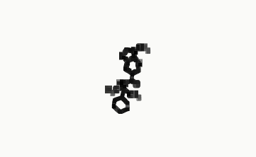 Cn1cnc2cc(C(=O)NC(C)(C)C3CCCCC3)cnc21